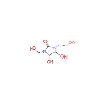 O=C1N(CO)C(O)C(O)N1CCO